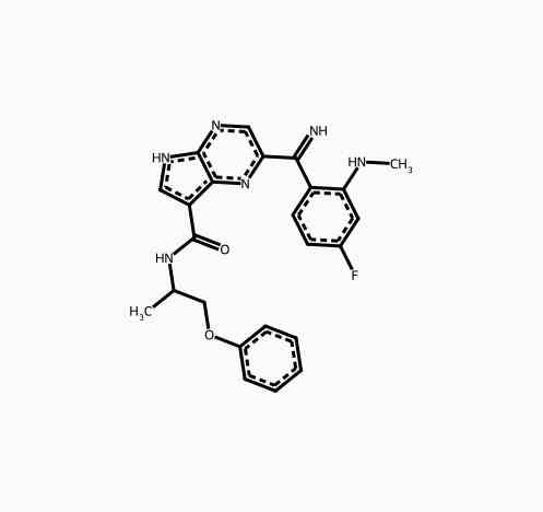 CNc1cc(F)ccc1C(=N)c1cnc2[nH]cc(C(=O)NC(C)COc3ccccc3)c2n1